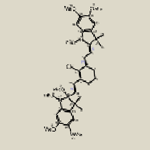 CCCCN1/C(=C\C=C2/CCCC(/C=C/C3(OC)N(CCCC)c4cc(OC)c(OC)cc4C3(C)C)=C2Cl)C(C)(C)c2cc(OC)c(OC)cc21